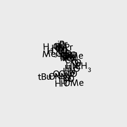 CC[C@H](C)[C@@H]([C@@H](CC(=O)N1CCC[C@H]1[C@H](OC)[C@@H](C)C(=O)N[C@@H](Cc1ccccc1)C(=O)NCCCOC(=O)C(C)NC(=O)CCNC(=O)OCC(NC(=O)CNC(=O)CCNC(=O)CCOCC(C)(C)C)C(=O)NCCOC)OC)N(C)C(=O)C(NC(=O)[C@H](C(C)C)N(C)C)C(C)C